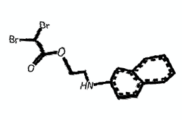 O=C(OCCNc1ccc2ccccc2c1)C(Br)Br